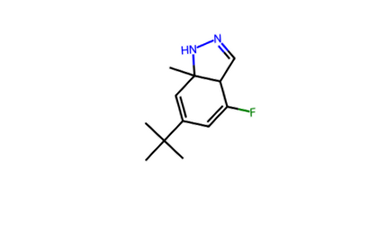 CC(C)(C)C1=CC2(C)NN=CC2C(F)=C1